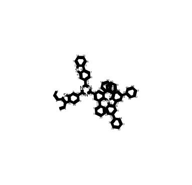 C=Cc1c(/C=C\C)sc2cc(-c3nc(-c4cc(-c5ccccc5)c(-n5c6ccc(-c7ccccc7)cc6c6cc(-c7ccccc7)cc(-c7ccccc7)c65)c(-c5ccccc5)c4)nc(-c4ccc5c(c4)sc4ccccc45)n3)ccc12